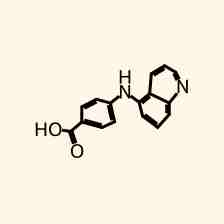 O=C(O)c1ccc(Nc2cccc3ncccc23)cc1